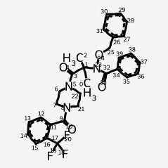 CC(C)(C(=O)N1CCN(C(=O)c2ccccc2C(F)(F)F)CC1)N(OCc1ccccc1)C(=O)c1ccccc1